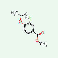 COC(=O)c1ccc(OC(C)C)c(F)c1